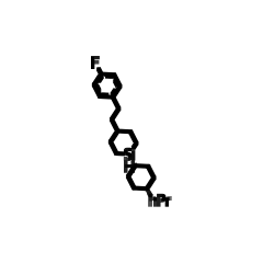 CCC[C@H]1CC[C@H]([SiH]2CCC(CCc3ccc(F)cc3)CC2)CC1